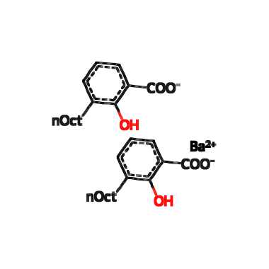 CCCCCCCCc1cccc(C(=O)[O-])c1O.CCCCCCCCc1cccc(C(=O)[O-])c1O.[Ba+2]